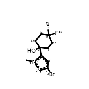 Cn1nc(Br)cc1C1(O)CCC(F)(F)CC1